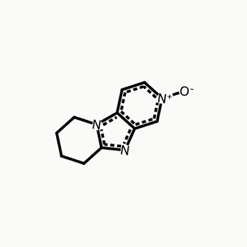 [O-][n+]1ccc2c(c1)nc1n2CCCC1